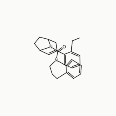 CCc1ccccc1C1=CC2CCC(C1)N2C(=O)N1CCCc2ccccc21